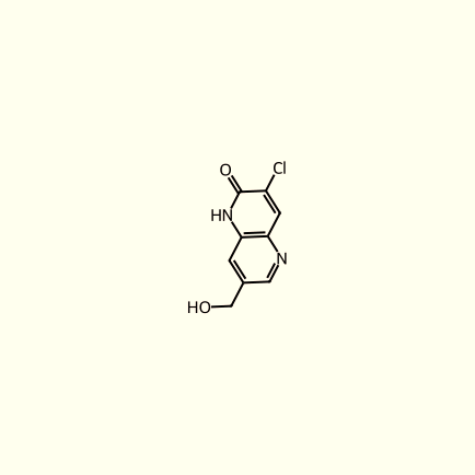 O=c1[nH]c2cc(CO)cnc2cc1Cl